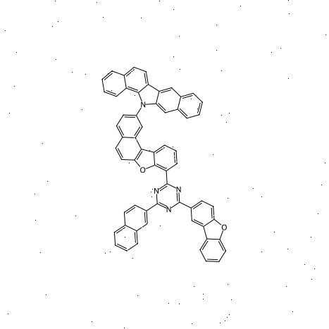 c1ccc2cc(-c3nc(-c4ccc5oc6ccccc6c5c4)nc(-c4cccc5c4oc4ccc6ccc(-n7c8cc9ccccc9cc8c8ccc9ccccc9c87)cc6c45)n3)ccc2c1